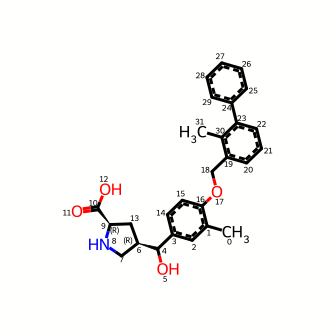 Cc1cc(C(O)[C@H]2CN[C@@H](C(=O)O)C2)ccc1OCc1cccc(-c2ccccc2)c1C